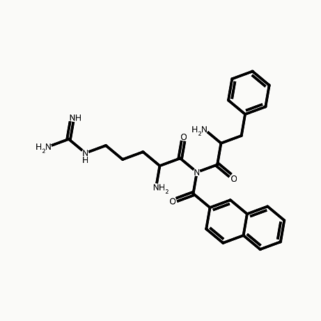 N=C(N)NCCCC(N)C(=O)N(C(=O)c1ccc2ccccc2c1)C(=O)C(N)Cc1ccccc1